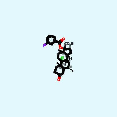 C[C@H]1C[C@H]2[C@@H]3CC[C@](OC(=O)c4cccc(I)c4)(C(=O)O)[C@@]3(C)CC[C@]2(Cl)[C@@]2(C)CCC(=O)C=C12